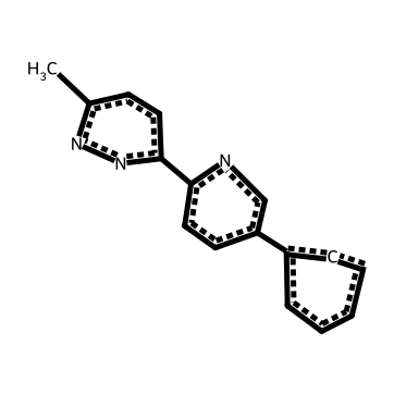 Cc1ccc(-c2ccc(-c3ccccc3)cn2)nn1